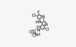 N#Cc1cnc2c(Cl)cc(NCC3=COC4CCNN34)cc2c1Nc1ccc(F)c(Cl)c1